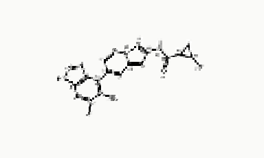 CCc1c(F)cc2[nH]ncc2c1-c1ccn2nc(NC(=O)C3CC3F)cc2c1